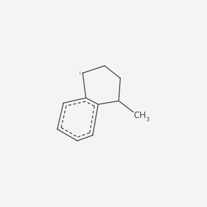 CC1CC[C]c2ccccc21